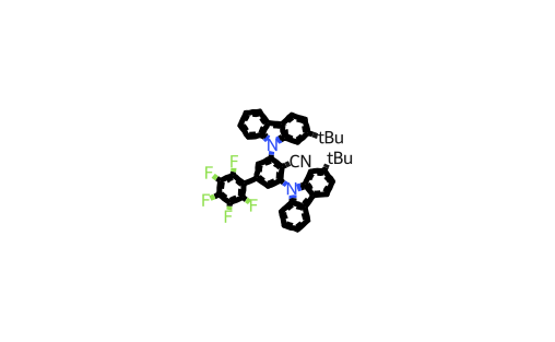 CC(C)(C)c1ccc2c3ccccc3n(-c3cc(-c4c(F)c(F)c(F)c(F)c4F)cc(-n4c5ccccc5c5ccc(C(C)(C)C)cc54)c3C#N)c2c1